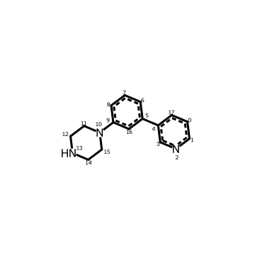 c1cncc(-c2cccc(N3CCNCC3)c2)c1